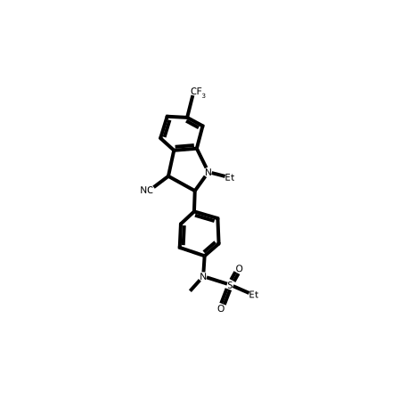 CCN1c2cc(C(F)(F)F)ccc2C(C#N)C1c1ccc(N(C)S(=O)(=O)CC)cc1